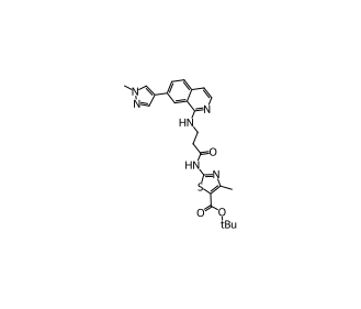 Cc1nc(NC(=O)CCNc2nccc3ccc(-c4cnn(C)c4)cc23)sc1C(=O)OC(C)(C)C